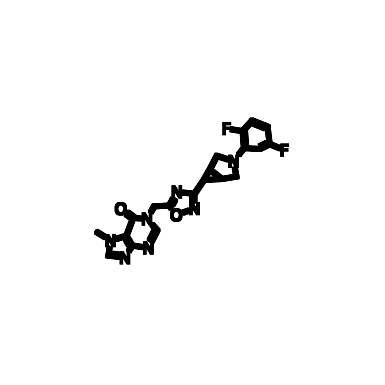 Cn1cnc2ncn(Cc3nc(C4C5CN(c6cc(F)ccc6F)CC54)no3)c(=O)c21